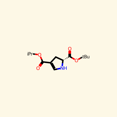 CC(C)OC(=O)C1=CN[C@@H](C(=O)OC(C)(C)C)C1